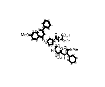 CCC[C@H](NC(=O)[C@@H]1C[C@@H](Oc2cc(-c3ccccc3)nc3cc(OC)ccc23)C[C@H]1C(=O)N[C@H](C(=O)N[C@H](C(=O)NC)C1CCCCC1)C(C)(C)C)C(=O)O